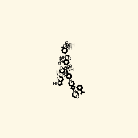 CC(C)c1ccccc1[C@@H]1COCCCN1C1CC2(CCN(c3ccc(C(=O)NS(=O)(=O)c4cc5c(c([N+](=O)[O-])c4)N[C@@H](C4CCC(C)(OP(=O)(O)O)CC4)CO5)c(N4c5cc6cc[nH]c6nc5O[C@H]5COCC[C@@H]54)c3)CC2)C1